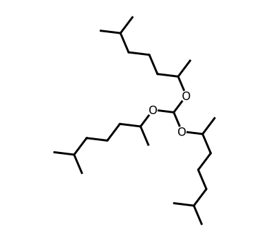 CC(C)CCCC(C)OC(OC(C)CCCC(C)C)OC(C)CCCC(C)C